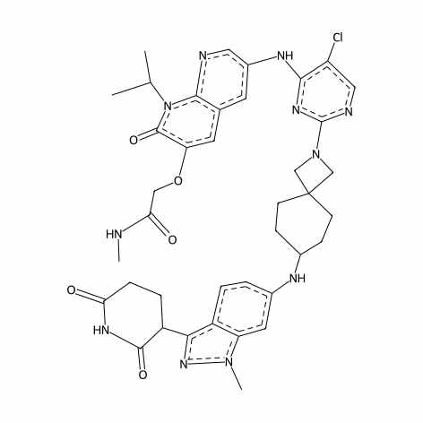 CNC(=O)COc1cc2cc(Nc3nc(N4CC5(CCC(Nc6ccc7c(C8CCC(=O)NC8=O)nn(C)c7c6)CC5)C4)ncc3Cl)cnc2n(C(C)C)c1=O